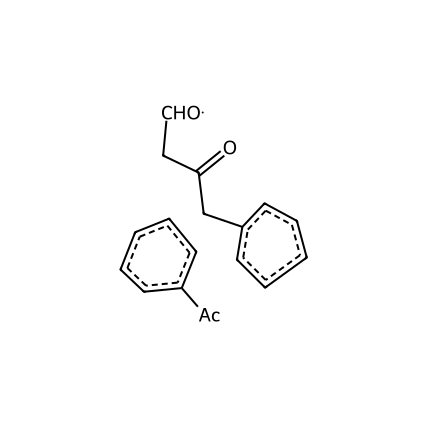 CC(=O)c1ccccc1.O=[C]CC(=O)Cc1ccccc1